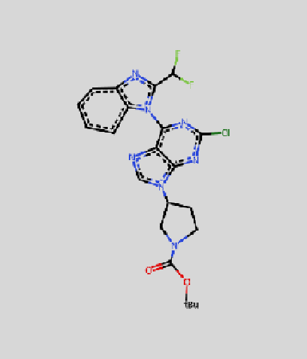 CC(C)(C)OC(=O)N1CCC(n2cnc3c(-n4c(C(F)F)nc5ccccc54)nc(Cl)nc32)C1